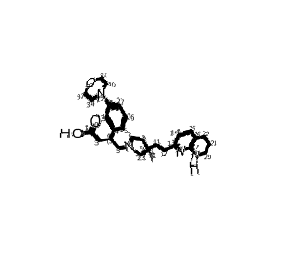 O=C(O)C[C@H](CN1CC[C@](F)(CCc2ccc3c(n2)NCCC3)C1)c1cccc(N2CCOCC2)c1